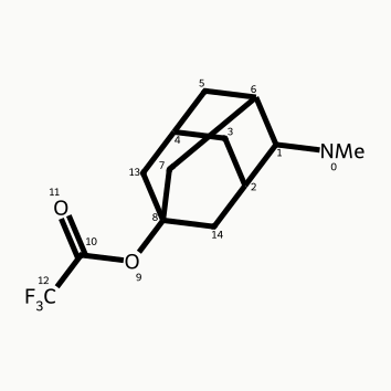 CNC1C2CC3CC1CC(OC(=O)C(F)(F)F)(C3)C2